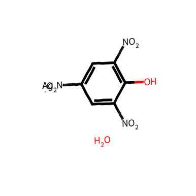 O.O=[N+]([O-])c1cc([N+](=O)[O-])c(O)c([N+](=O)[O-])c1.[Ag]